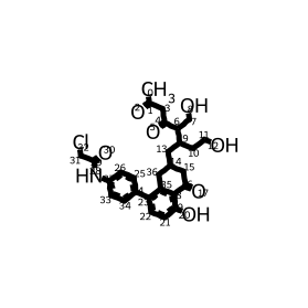 CC(=O)CC(=O)C(CO)C(CCO)CC1CC(=O)c2c(O)ccc(-c3ccc(NC(=O)CCl)cc3)c2C1